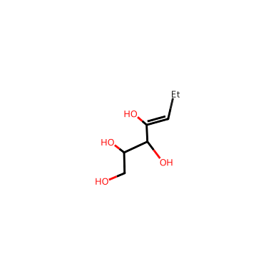 CCC=C(O)C(O)C(O)CO